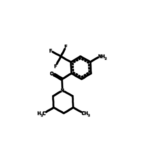 CC1CC(C)CN(C(=O)c2ccc(N)cc2C(F)(F)F)C1